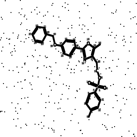 Cc1ccc(S(=O)(=O)OCCc2nc(-c3ccc(OCc4ccccc4)cc3)oc2C)cc1